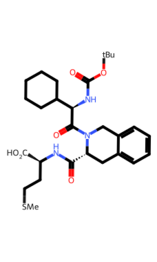 CSCC[C@H](NC(=O)[C@H]1Cc2ccccc2CN1C(=O)[C@H](NC(=O)OC(C)(C)C)C1CCCCC1)C(=O)O